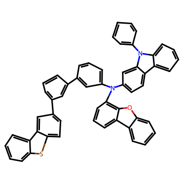 c1ccc(-n2c3ccccc3c3ccc(N(c4cccc(-c5cccc(-c6ccc7sc8ccccc8c7c6)c5)c4)c4cccc5c4oc4ccccc45)cc32)cc1